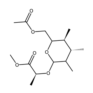 COC(=O)[C@H](C)OC1OC(COC(C)=O)[C@@H](C)[C@H](C)C1C